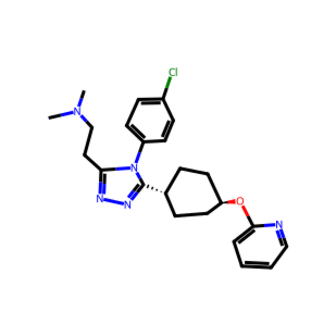 CN(C)CCc1nnc([C@H]2CC[C@H](Oc3ccccn3)CC2)n1-c1ccc(Cl)cc1